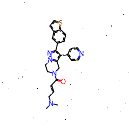 CN(C)C/C=C/C(=O)N1CCn2nc(-c3ccc4sccc4c3)c(-c3ccncc3)c2C1